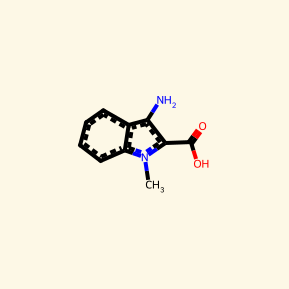 Cn1c(C(=O)O)c(N)c2ccccc21